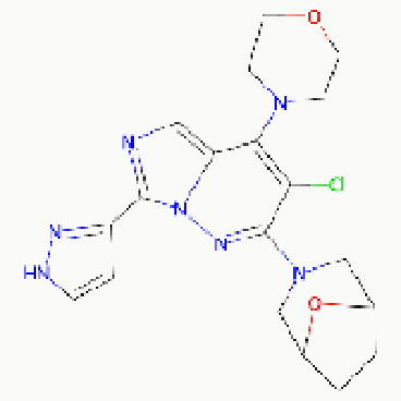 Clc1c(N2CC3CCC(C2)O3)nn2c(-c3cc[nH]n3)ncc2c1N1CCOCC1